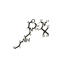 CCCNCCN1CCO[C@H](CN(C)CC(C)(C)C)C1